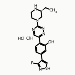 CC[C@H]1CN(c2ncc(-c3ccc(-c4c[nH]nc4F)cc3O)nn2)CCN1.Cl.Cl